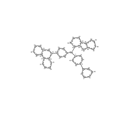 c1ccc(-c2ccc(N(c3ccc(-c4cc5ccccc5c5ccccc45)cc3)c3nccc4c3sc3ccccc34)cc2)cc1